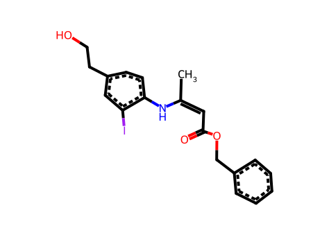 CC(=CC(=O)OCc1ccccc1)Nc1ccc(CCO)cc1I